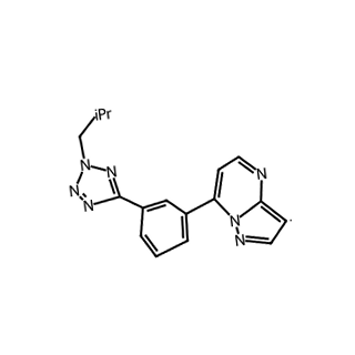 CC(C)Cn1nnc(-c2cccc(-c3ccnc4[c]cnn34)c2)n1